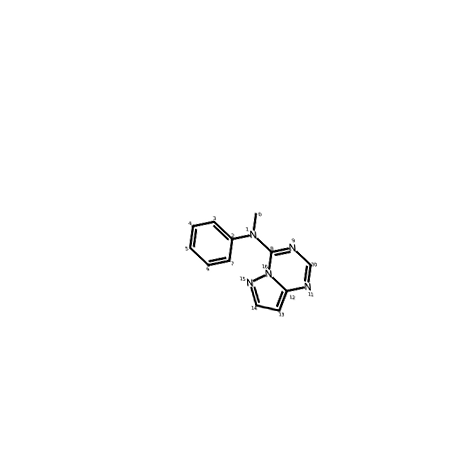 CN(c1ccccc1)c1ncnc2ccnn12